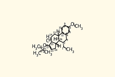 CC[C@@H]1Cc2cc(OC)ccc2[C@H]2CC[C@]3(C)C(O[Si](C)(C)C)=CC[C@H]3[C@H]12